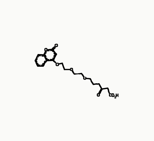 O=C(O)CC(=O)CCCOCCOCCOc1cc(=O)oc2ccccc12